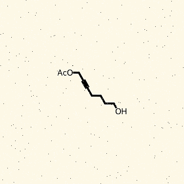 CC(=O)OCC#CCCCCO